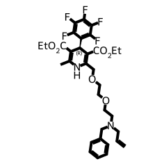 C=CCN(CCOCCOCC1=C(C(=O)OCC)[C@H](c2c(F)c(F)c(F)c(F)c2F)C(C(=O)OCC)=C(C)N1)Cc1ccccc1